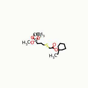 CCC1(OC(=O)CSCCC[Si](OC)(OC)OC)CCCCC1